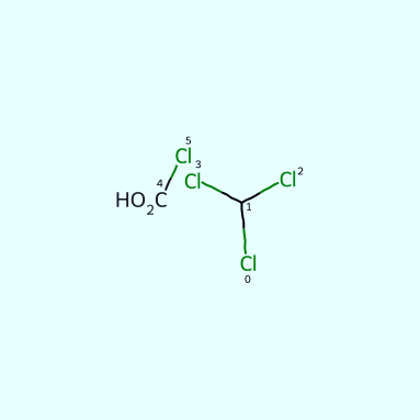 ClC(Cl)Cl.O=C(O)Cl